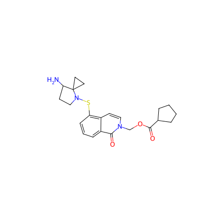 NC1CCN(Sc2cccc3c(=O)n(COC(=O)C4CCCC4)ccc23)C12CC2